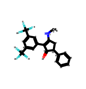 CNC1=C(c2cc(C(F)(F)F)cc(C(F)(F)F)c2)C(=O)C(c2ccccc2)C1